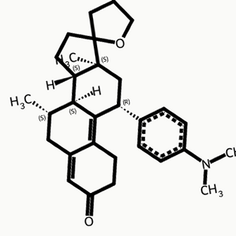 C[C@H]1CC2=CC(=O)CCC2=C2[C@@H]1[C@@H]1CCC3(CCCO3)[C@@]1(C)C[C@@H]2c1ccc(N(C)C)cc1